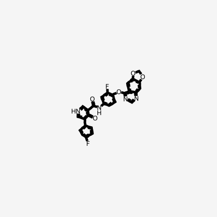 O=C(Nc1ccc(Oc2ncnc3cc4c(cc23)OCO4)c(F)c1)c1c[nH]cc(-c2ccc(F)cc2)c1=O